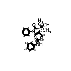 CC(C)(C)n1c(=O)n(-c2ccccc2)c2nc(Nc3ccccc3)ncc21